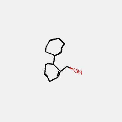 OCC1=CCCCC1C1CCCCC1